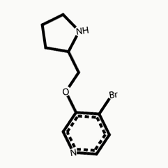 Brc1ccncc1OCC1CCCN1